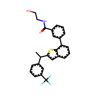 CC(c1cccc(C(F)(F)F)c1)c1cc2cccc(-c3cccc(C(=O)NCCO)c3)c2s1